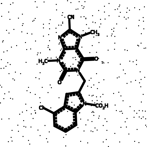 Cn1c(C#N)nc2c1c(=O)n(Cc1cc3c(Cl)cccc3n1C(=O)O)c(=O)n2C